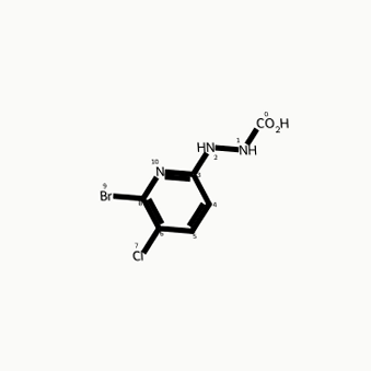 O=C(O)NNc1ccc(Cl)c(Br)n1